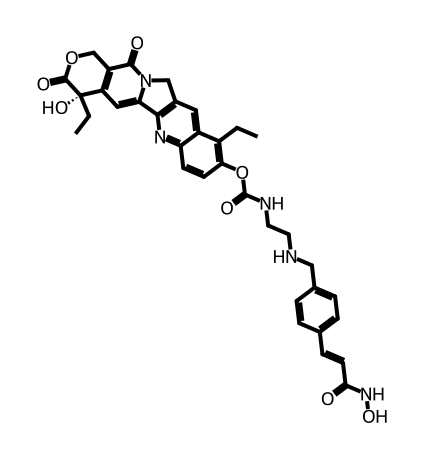 CCc1c(OC(=O)NCCNCc2ccc(/C=C/C(=O)NO)cc2)ccc2nc3c(cc12)Cn1c-3cc2c(c1=O)COC(=O)[C@]2(O)CC